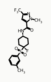 Cc1cccc(S(=O)(=O)[C@]2(F)CC[C@@H](NC(=O)c3cc(C(F)(F)F)nn3C)CC2)c1